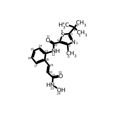 Cc1nc(C(C)(C)C)sc1C(=O)Nc1ccccc1C=CC(=O)NO